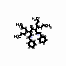 C=CCN(CC=C)C(/C=C/c1ccccc1)C(=O)C(/C=C/c1ccccc1)N(CC=C)CC=C